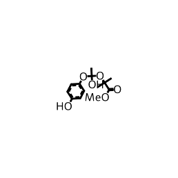 COC(=O)C(C)(C)OC(C)(O)Oc1ccc(O)cc1